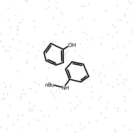 CCCCNc1ccccc1.Oc1ccccc1